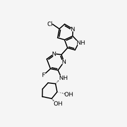 O[C@@H]1[C@H](O)CCC[C@@H]1Nc1nc(-c2c[nH]c3ncc(Cl)cc23)ncc1F